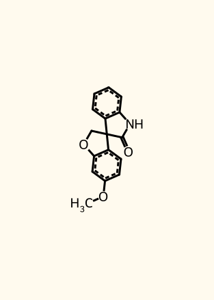 COc1ccc2c(c1)OCC21C(=O)Nc2ccccc21